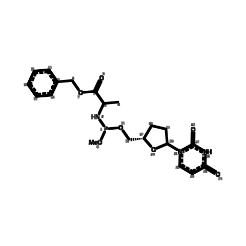 COP(NC(C)C(=O)OCc1ccccc1)OC[C@@H]1CCC(n2ccc(=O)[nH]c2=O)O1